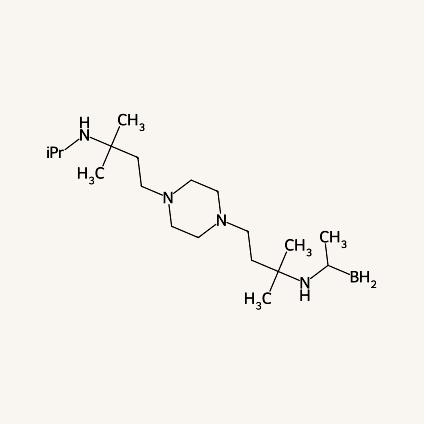 BC(C)NC(C)(C)CCN1CCN(CCC(C)(C)NC(C)C)CC1